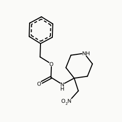 O=C(NC1(C[N+](=O)[O-])CCNCC1)OCc1ccccc1